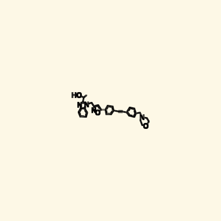 CC(O)c1nc2ccccc2n1Cc1cc(-c2ccc(C#Cc3ccc(CN4CCOCC4)cc3)cc2)on1